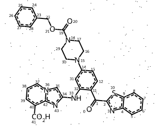 O=C(c1nc2ccccc2s1)c1ccc(N2CCN(C(=O)OCc3ccccc3)CC2)cc1Nc1cn2cccc(C(=O)O)c2n1